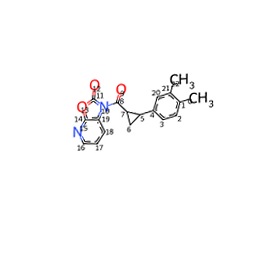 Cc1ccc(C2CC2C(=O)n2c(=O)oc3ncccc32)cc1C